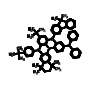 CC(C)(C)c1ccc(N2c3cc4c(cc3B3c5ccc(N(c6ccccc6)c6ccccc6)cc5N(c5ccc6c(c5)-c5ccccc5C6(C)C)c5cc(C(C)(C)C)cc2c53)C(C)(C)CCC4(C)C)cc1